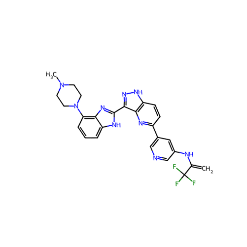 C=C(Nc1cncc(-c2ccc3[nH]nc(-c4nc5c(N6CCN(C)CC6)cccc5[nH]4)c3n2)c1)C(F)(F)F